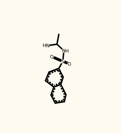 CC([NH])NS(=O)(=O)c1ccc2ccccc2c1